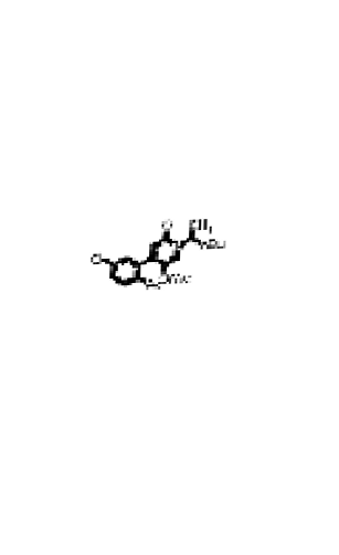 CCCCC(C)n1cc(OC)c(-c2cc(Cl)ccc2C(C)=O)cc1=O